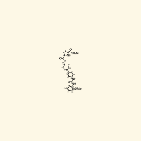 COC(=O)C1CCC(C(=O)CCC2CCC(c3ccc(NC(=O)Nc4cc(C)ccc4OC)cc3)CC2)N1